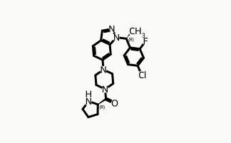 C[C@H](c1ccc(Cl)cc1F)n1ncc2ccc(N3CCN(C(=O)[C@H]4CCCN4)CC3)cc21